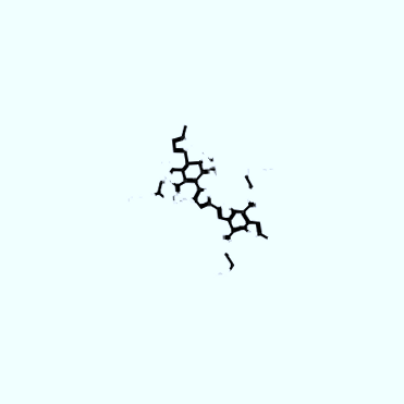 CCCCCCCCCCCCOC(=O)c1c2cc(-c3ccc(-c4c5c(c(-c6ccc(C)s6)c6nsnc46)C(=O)N(CC(CCCCCCCC)CCCCCCCCCC)C5=O)s3)sc2c(C(=O)OCCCCCCCCCCCC)c2cc(C)sc12